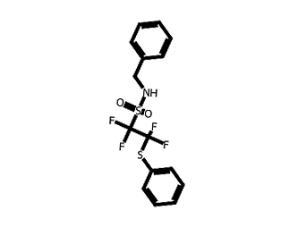 O=S(=O)(NCc1ccccc1)C(F)(F)C(F)(F)Sc1ccccc1